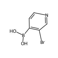 OB(O)c1ccncc1Br